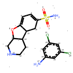 NS(=O)(=O)C1=CC=C2OC3CNCCC3C2C1.Nc1cc(Cl)cc(Cl)c1